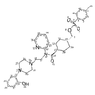 Cc1ccc(S(=O)(=O)OC[C@H]2CC[C@H](C(=O)N(CCN3CCN(c4ccccc4O)CC3)c3ccccn3)CC2)cc1